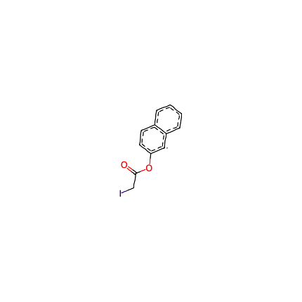 O=C(CI)Oc1[c]c2ccccc2cc1